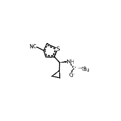 CC(C)(C)[S@+]([O-])N[C@H](c1cc(C#N)cs1)C1CC1